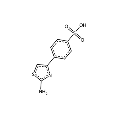 Nc1nc(-c2ccc(S(=O)(=O)O)cc2)cs1